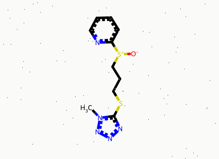 Cn1nnnc1SCCC[S+]([O-])c1ccccn1